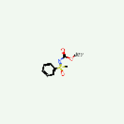 CC(C)(C)OC(=O)N=S(C)(=O)c1ccccc1